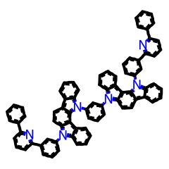 c1ccc(-c2cccc(-c3cccc(-n4c5ccccc5c5c4ccc4c6ccccc6n(-c6cccc(-n7c8ccccc8c8c7ccc7c9ccccc9n(-c9cccc(-c%10cccc(-c%11ccccc%11)n%10)c9)c78)c6)c45)c3)n2)cc1